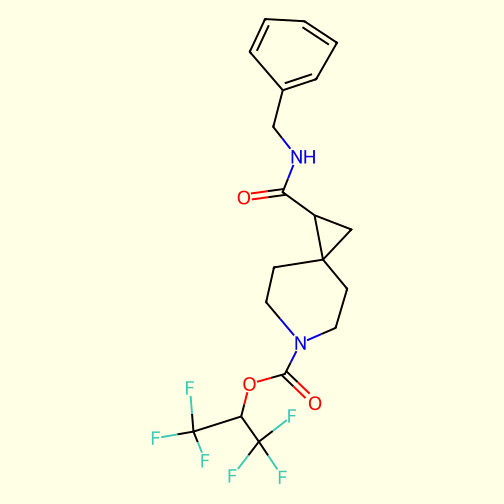 O=C(NCc1ccccc1)C1CC12CCN(C(=O)OC(C(F)(F)F)C(F)(F)F)CC2